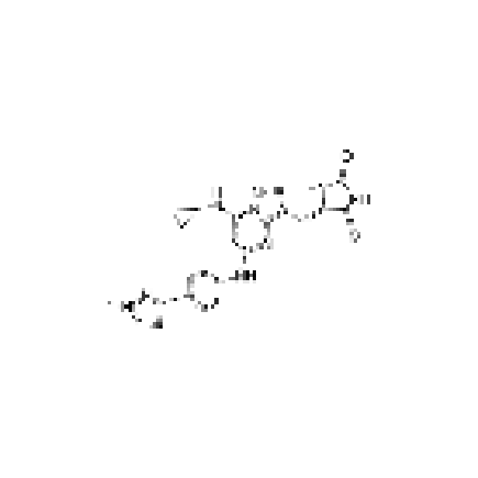 Cn1ccc(-c2ccc(Nc3cc(NC4CC4)n4ncc(/C=C5\NC(=O)NC5=O)c4n3)cc2)n1